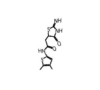 Cc1cc(NC(=O)CC2SC(=N)NC2=O)sc1C